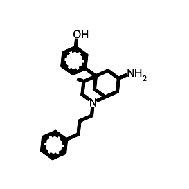 CC1CN(CCCc2ccccc2)C2CC(N)CC1(c1cccc(O)c1)C2